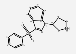 O=S(=O)(c1ccccc1)c1cn(C2CCNC2)c2ccccc12